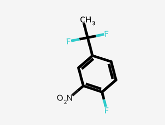 CC(F)(F)c1ccc(F)c([N+](=O)[O-])c1